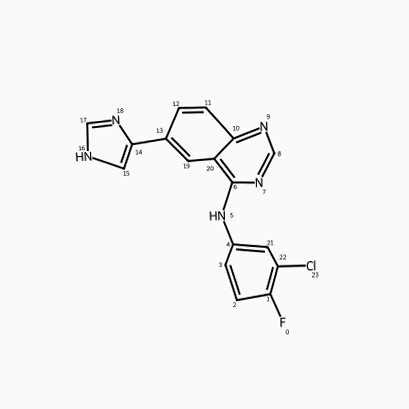 Fc1ccc(Nc2ncnc3ccc(-c4c[nH]cn4)cc23)cc1Cl